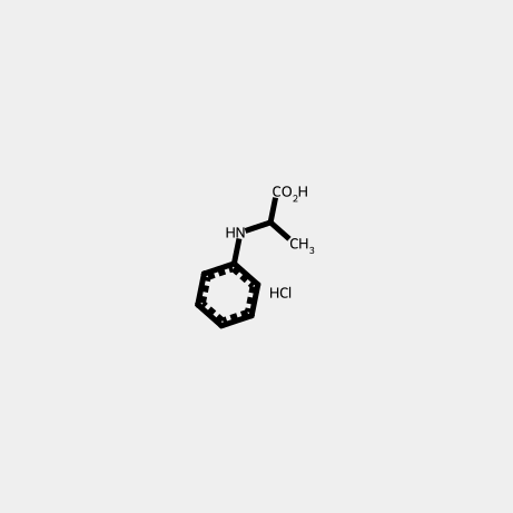 CC(Nc1ccccc1)C(=O)O.Cl